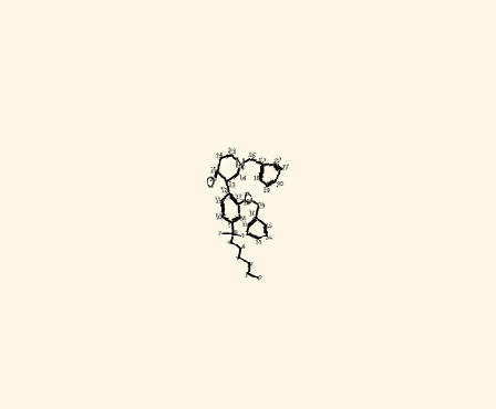 CCCCCCC(C)(C)c1ccc(C2CN(Cc3ccccc3)CCC2=O)c(OCc2ccccc2)c1